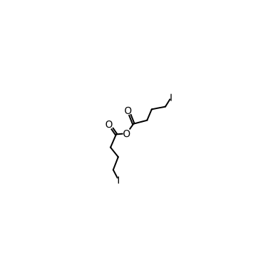 O=C(CCCI)OC(=O)CCCI